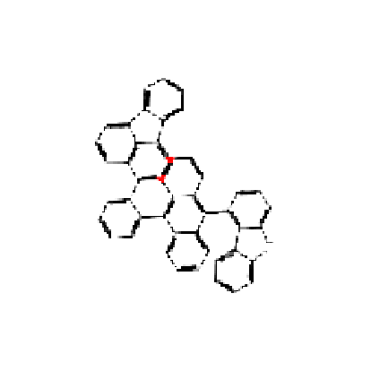 c1ccc(-c2ccc3c4c(cccc24)-c2ccccc2-3)c(-c2c3ccccc3c(-c3cccc4oc5ccccc5c34)c3ccccc23)c1